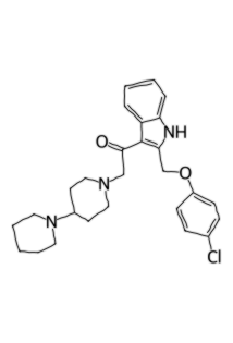 O=C(CN1CCC(N2CCCCC2)CC1)c1c(COc2ccc(Cl)cc2)[nH]c2ccccc12